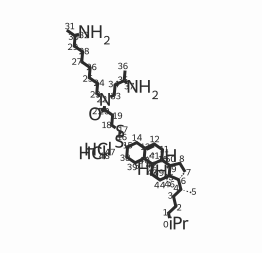 CC(C)CCC[C@@H](C)[C@H]1CC[C@H]2[C@@H]3CC=C4C[C@@H](SSCCC(=O)N(CCCCCCCC(C)N)CCC(C)N)CC[C@]4(C)[C@H]3CC[C@]12C.Cl.Cl